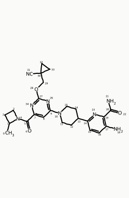 CC1CCN1C(=O)c1cc(N2CCC(c3ccc(N)c(C(N)=O)n3)CC2)nc(OCC2(C#N)CC2)n1